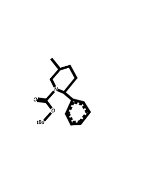 CC1CCC(c2ccccc2)N(C(=O)OC(C)(C)C)C1